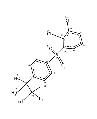 CC(O)(c1ccc(S(=O)(=O)c2cccc(Cl)c2Cl)cc1)C(F)(F)F